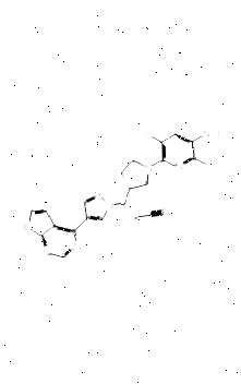 N#CC[C@@H]([C@H]1CCN(c2nc(Cl)c(N)cc2F)C1)n1cc(-c2ncnc3[nH]ccc23)cn1